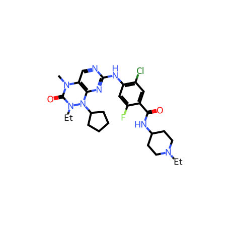 CCN1CCC(NC(=O)c2cc(Cl)c(Nc3ncc4c(n3)N(C3CCCC3)N(CC)C(=O)N4C)cc2F)CC1